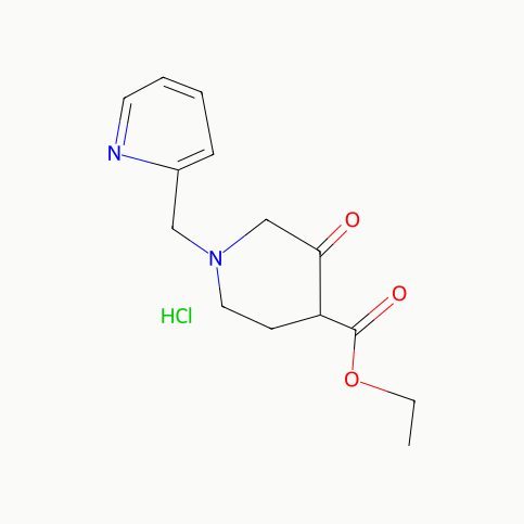 CCOC(=O)C1CCN(Cc2ccccn2)CC1=O.Cl